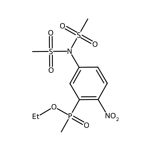 CCOP(C)(=O)c1cc(N(S(C)(=O)=O)S(C)(=O)=O)ccc1[N+](=O)[O-]